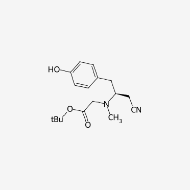 CN(CC(=O)OC(C)(C)C)[C@H](CC#N)Cc1ccc(O)cc1